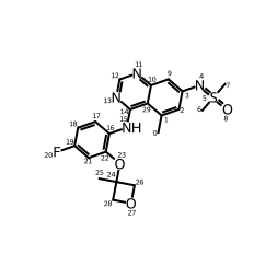 Cc1cc(N=S(C)(C)=O)cc2ncnc(Nc3ccc(F)cc3OC3(C)COC3)c12